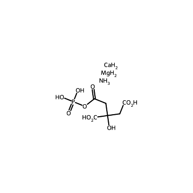 N.O=C(O)CC(O)(CC(=O)OP(=O)(O)O)C(=O)O.[CaH2].[MgH2]